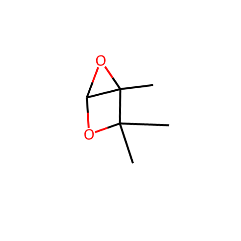 CC1(C)OC2OC21C